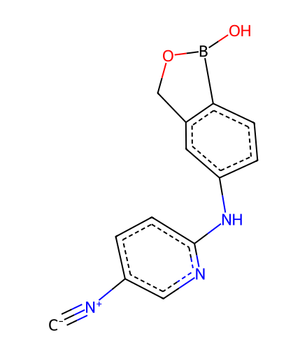 [C-]#[N+]c1ccc(Nc2ccc3c(c2)COB3O)nc1